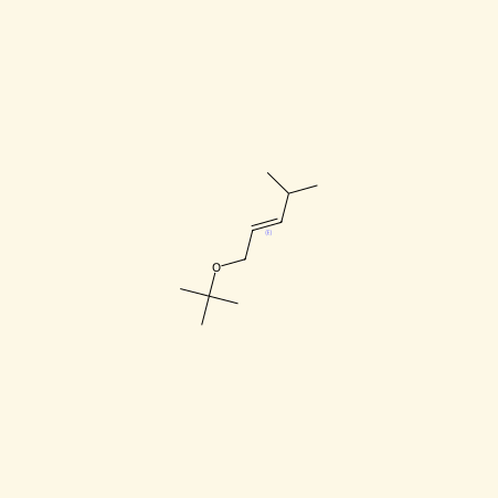 CC(C)/C=C/COC(C)(C)C